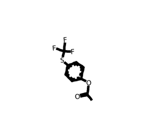 CC(=O)Oc1ccc(SC(F)(F)F)cc1